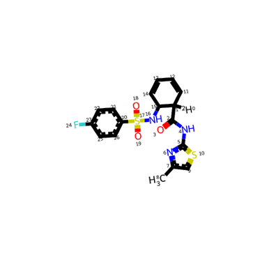 [2H]C1(C(=O)Nc2nc(C)cs2)C=CC=CC1NS(=O)(=O)c1ccc(F)cc1